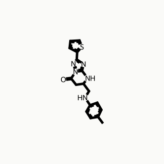 Cc1ccc(NCC2CC(=O)n3nc(-c4cccs4)nc3N2)cc1